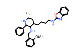 COc1ccccc1CNC1C(CCCCNc2nc3ccccc3o2)CCNC1c1ccccc1.Cl